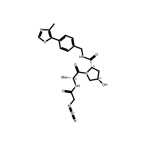 Cc1ncsc1-c1ccc(CNC(=O)[C@@H]2C[C@@H](O)CN2C(=O)[C@H](NC(=O)CN=[N+]=[N-])C(C)(C)C)cc1